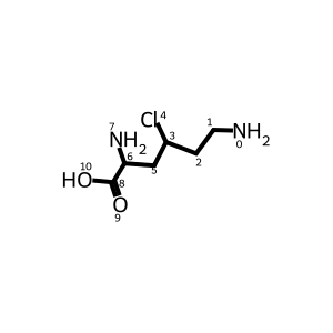 NCCC(Cl)CC(N)C(=O)O